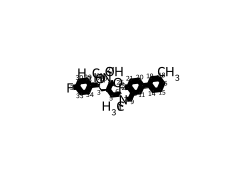 CO[C@H](C[C@H](CCN(C)Cc1cc(-c2cccc(C)c2)ccc1F)C(=O)NO)c1ccc(F)cc1